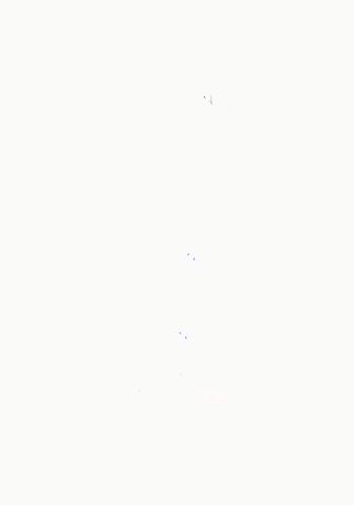 CB(O)N1CCN(c2ccc([N+](=O)[O-])cc2F)CC1